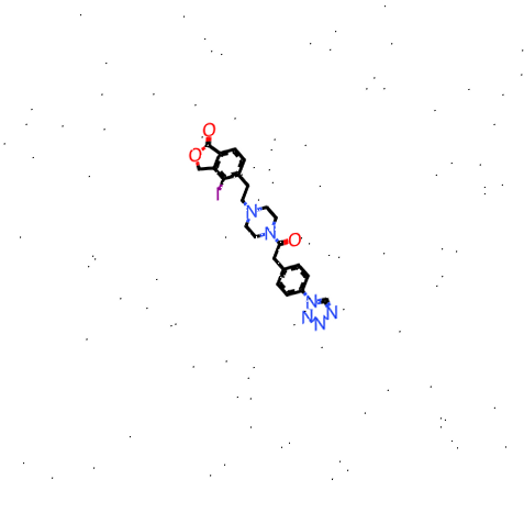 O=C1OCc2c1ccc(CCN1CCN(C(=O)Cc3ccc(-n4cnnn4)cc3)CC1)c2I